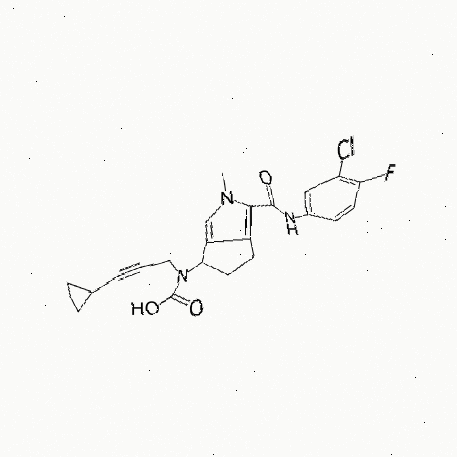 Cn1cc2c(c1C(=O)Nc1ccc(F)c(Cl)c1)CCC2N(CC#CC1CC1)C(=O)O